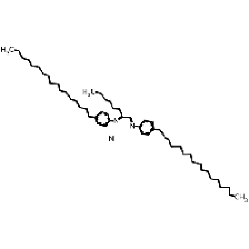 CCCCCCCCCCCCCCCCCc1ccc(N=CC(CCCCCC)=Nc2ccc(CCCCCCCCCCCCCCCCC)cc2)cc1.[Ni]